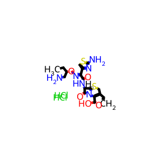 C=CC1=C(C(=O)O)N2C(=O)C(NC(=O)C(=NOC(CC)CN)c3csc(N)n3)[C@@H]2SC1.Cl.Cl